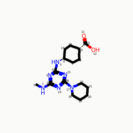 CNc1nc(N[C@H]2CC[C@@H](C(=O)O)CC2)nc(N2CCCCC2)n1